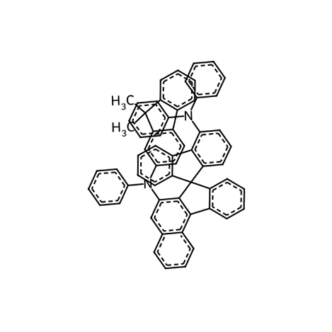 CC1(C)c2ccccc2-c2ccc(N(c3ccccc3)c3cc4ccccc4c4c3C3(c5ccccc5-c5c(N(c6ccccc6)c6ccccc6)cccc53)c3ccccc3-4)cc21